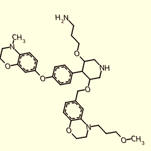 COCCCN1CCOc2ccc(COC3CNCC(OCCCN)C3c3ccc(Oc4ccc5c(c4)OCCN5C)cc3)cc21